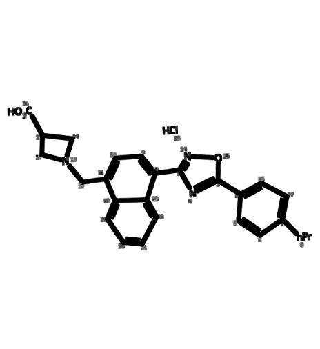 CCCc1ccc(-c2nc(-c3ccc(CN4CC(C(=O)O)C4)c4ccccc34)no2)cc1.Cl